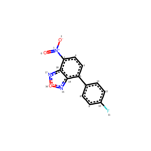 O=[N+]([O-])c1ccc(-c2ccc(F)cc2)c2nonc12